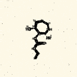 Br.CCOC(=O)O[C@@H]1CNCCC[C@H]1O